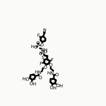 N#Cc1ccc(OP(=O)(O)CNS(=O)(=O)c2cc3c(F)c(OCCNC(=O)c4ccc(O)c(O)c4)c(OCCNC(=O)c4ccc(O)c(O)c4)c(F)c3s2)cc1F